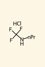 CCCNC(F)(F)F.Cl